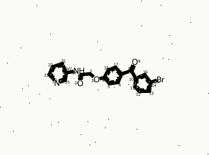 O=C(COc1ccc(C(=O)c2cccc(Br)c2)cc1)Nc1cccnc1